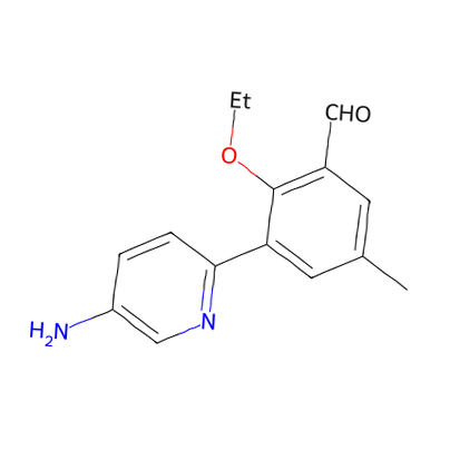 CCOc1c(C=O)cc(C)cc1-c1ccc(N)cn1